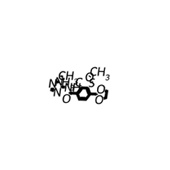 COSc1c(C2OCCO2)ccc(C(=O)Nc2ncnn2C)c1C